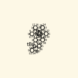 CC(C)(C)c1ccc(B2N(c3ccccc3)B(c3ccccc3)N(c3ccccc3)B(c3ccccc3)N2c2ccccc2)cc1-c1cccc2c1Oc1ccccc1C2(C)C